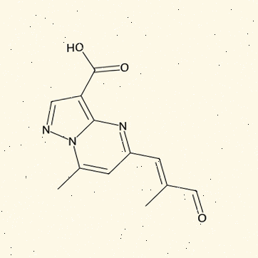 C/C(C=O)=C\c1cc(C)n2ncc(C(=O)O)c2n1